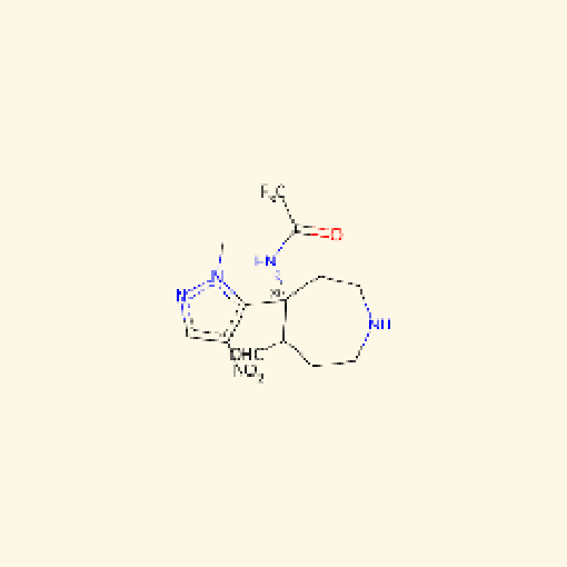 Cn1ncc([N+](=O)[O-])c1[C@@]1(NC(=O)C(F)(F)F)CCNCCC1C=O